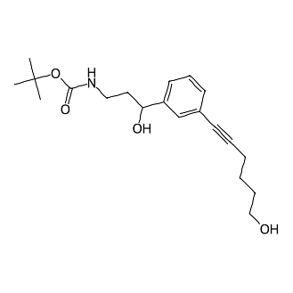 CC(C)(C)OC(=O)NCCC(O)c1cccc(C#CCCCCO)c1